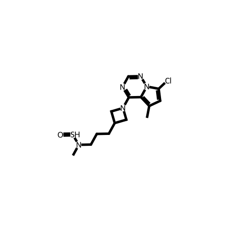 Cc1cc(Cl)n2ncnc(N3CC(CCCN(C)[SH]=O)C3)c12